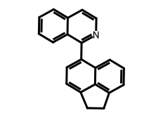 c1ccc2c(-c3ccc4c5c(cccc35)CC4)nccc2c1